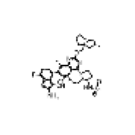 CS(=O)(=O)NC1CCN2c3nc(OCC45CCCN4C[C@H](F)C5)nc4c(F)c(-c5ccc(F)c6sc(N)c(C#N)c56)c(Cl)c(c34)OCC12